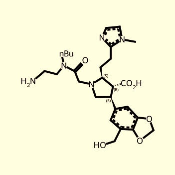 CCCCN(CCN)C(=O)CN1C[C@H](c2cc(CO)c3c(c2)OCO3)[C@@H](C(=O)O)[C@@H]1CCc1nccn1C